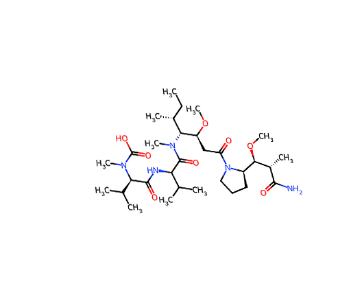 CC[C@@H](C)[C@H]([C@H](CC(=O)N1CCC[C@@H]1[C@@H](OC)[C@H](C)C(N)=O)OC)N(C)C(=O)[C@H](NC(=O)[C@@H](C(C)C)N(C)C(=O)O)C(C)C